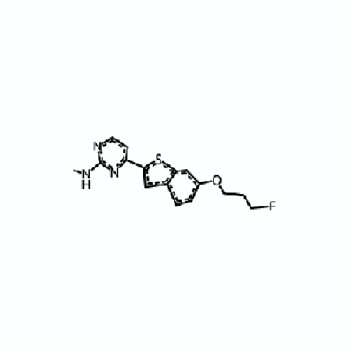 CNc1nccc(-c2cc3ccc(OCCCF)cc3s2)n1